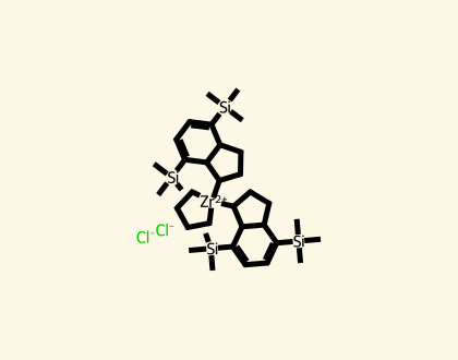 C[Si](C)(C)C1=CC=C([Si](C)(C)C)C2C1CC[CH]2[Zr+2]1([CH]2CCC3C([Si](C)(C)C)=CC=C([Si](C)(C)C)C32)[CH2]CC[CH2]1.[Cl-].[Cl-]